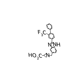 O=C(O)C1CN(Cc2ccc3[nH]c(-c4ccc(-c5ccccc5)c(C(F)(F)F)c4)nc3c2)C1